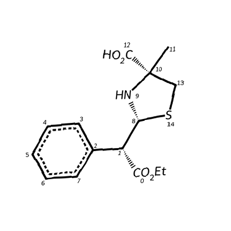 CCOC(=O)[C@H](c1ccccc1)[C@@H]1N[C@](C)(C(=O)O)CS1